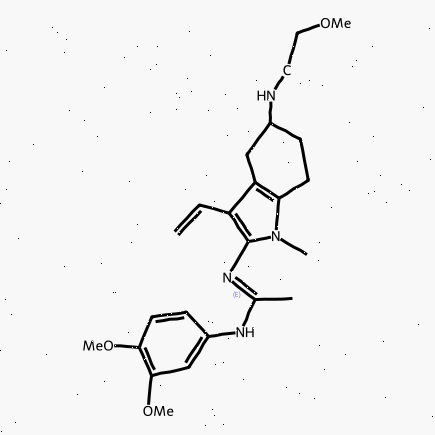 C=Cc1c2c(n(C)c1/N=C(\C)Nc1ccc(OC)c(OC)c1)CCC(NCCOC)C2